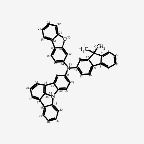 CC1(C)c2ccccc2-c2ccc(N(c3ccc4c(c3)oc3ccccc34)c3ccc4c(c3)c3cccc5c6ccccc6n4c53)cc21